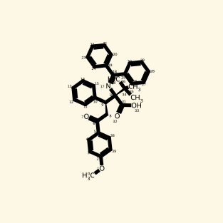 COc1ccc(C(=O)C[C@@H](c2ccccc2)[C@](N=C(c2ccccc2)c2ccccc2)(C(=O)O)C(C)(C)C)cc1